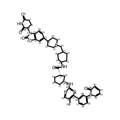 O=C1CCC(n2c(=O)oc3cc(C4CCN(CC5CCC(NC(=O)[C@H]6CCC[C@H](Nc7ncc(F)c(-c8cccc(-n9ccccc9=O)c8)n7)C6)CC5)CC4)ccc32)C(=O)N1